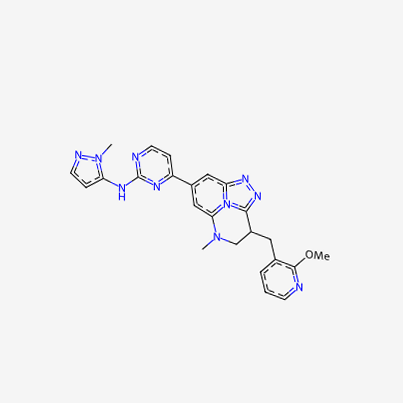 COc1ncccc1CC1CN(C)c2cc(-c3ccnc(Nc4ccnn4C)n3)cc3nnc1n23